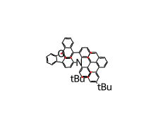 CC(C)(C)c1cc(-c2cccc3cccc(-c4ccccc4N(c4ccc5c(c4)oc4ccccc45)c4ccccc4-c4cccc5ccccc45)c23)cc(C(C)(C)C)c1